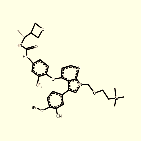 CC(C)Oc1ccc(-c2cn(COCC[Si](C)(C)C)c3nccc(Oc4ccc(NC(=O)N[C@H](C)C5COC5)cc4C(F)(F)F)c23)cc1C#N